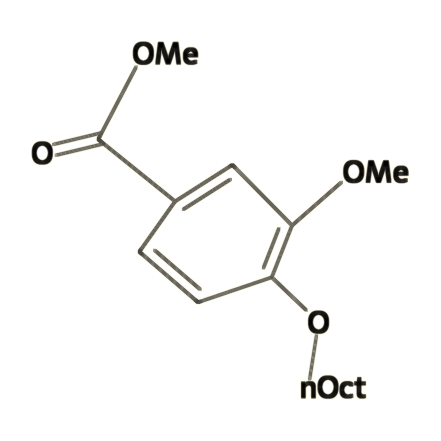 CCCCCCCCOc1ccc(C(=O)OC)cc1OC